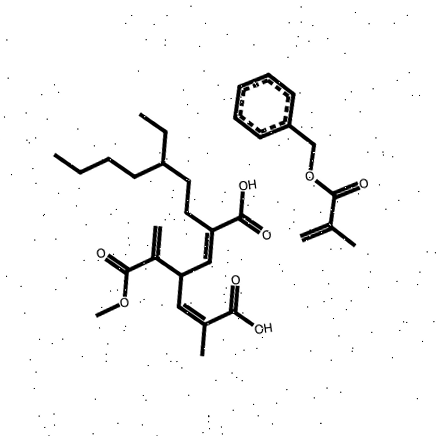 C=C(C(=O)OC)C(C=C(C)C(=O)O)C=C(CCC(CC)CCCC)C(=O)O.C=C(C)C(=O)OCc1ccccc1